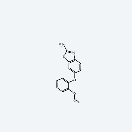 COc1ccccc1Oc1ccc2nc(N)sc2c1